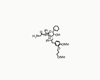 COCCCOc1cc(C[C@H](C[C@H](NC(=O)[C@@H](NC(=O)CN)C(C)C)[C@@H](O)CN2CCCCC2)C(C)C)ccc1OC